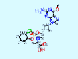 COc1nc(N)nc2c1ncn2[C@H]1C[C@@H](COP(=O)(Oc2ccccc2Cl)N(C)C(C)C(=O)O)C1